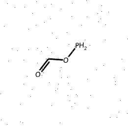 O=[C]OP